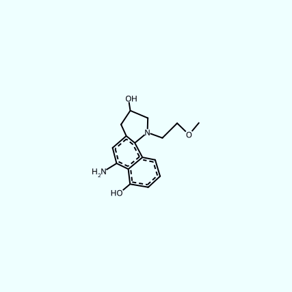 COCCN1CC(O)Cc2cc(N)c3c(O)cccc3c21